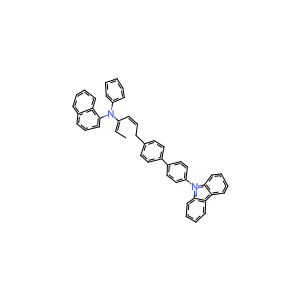 C/C=C(\C=C/Cc1ccc(-c2ccc(-n3c4ccccc4c4ccccc43)cc2)cc1)N(c1ccccc1)c1cccc2ccccc12